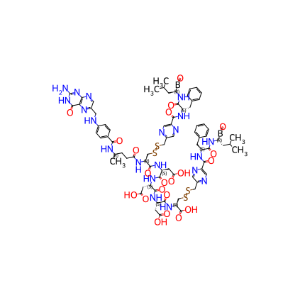 CC(C)C[C@@H](B=O)NC(=O)[C@H](Cc1ccccc1)NC(=O)c1cnc(CSSC[C@H](NC(=O)[C@H](CC(=O)O)NC(=O)[C@H](CC(=O)O)NC(=O)[C@H](CC(=O)O)NC(=O)[C@H](CSSCc2cnc(C(=O)N[C@@H](Cc3ccccc3)C(=O)N[C@H](B=O)CC(C)C)cn2)NC(=O)CC[C@@H](C)NC(=O)c2ccc(NCc3cnc4nc(N)[nH]c(=O)c4n3)cc2)C(=O)O)cn1